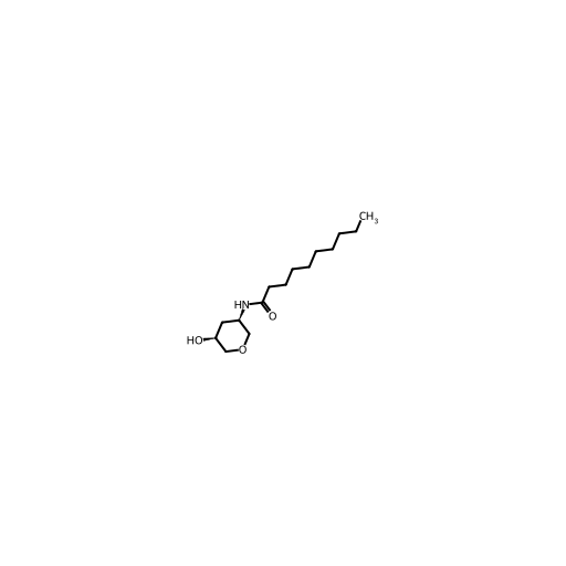 CCCCCCCCCC(=O)N[C@H]1COC[C@@H](O)C1